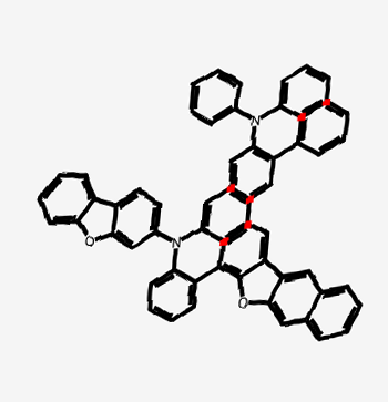 c1ccc(-c2cc(-c3cc(-c4ccccc4N(c4ccccc4)c4ccc5c(c4)oc4ccccc45)c4oc5cc6ccccc6cc5c4c3)ccc2N(c2ccccc2)c2ccccc2)cc1